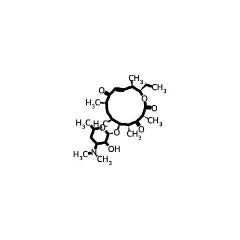 CC[C@H]1OC(=O)[C@H](C)C(=O)[C@H](C)[C@@H](O[C@H]2OC(C)CC(N(C)C)C2O)[C@@H](C)C[C@@H](C)C(=O)/C=C/[C@H]1C